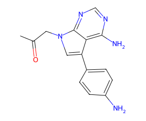 CC(=O)Cn1cc(-c2ccc(N)cc2)c2c(N)ncnc21